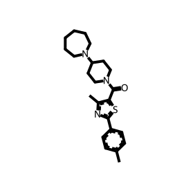 Cc1ccc(-c2nc(C)c(C(=O)N3CCC(N4CCCCCC4)CC3)s2)cc1